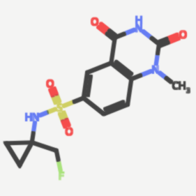 Cn1c(=O)[nH]c(=O)c2cc(S(=O)(=O)NC3(CF)CC3)ccc21